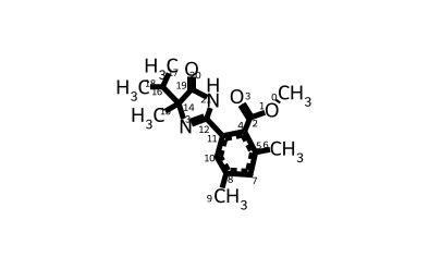 COC(=O)c1c(C)cc(C)cc1C1=NC(C)(C(C)C)C(=O)N1